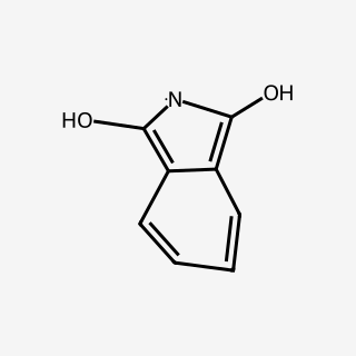 OC1=c2ccccc2=C(O)[N]1